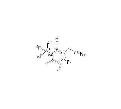 N#CCc1c(F)c(F)c(F)c(C(F)(F)F)c1F